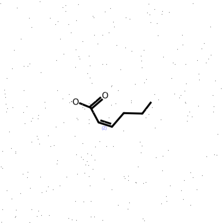 CCC/C=C\C([O])=O